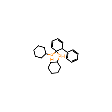 C1=CC(c2ccccc2)C(PC2CCCCC2)(PC2CCCCC2)C=C1